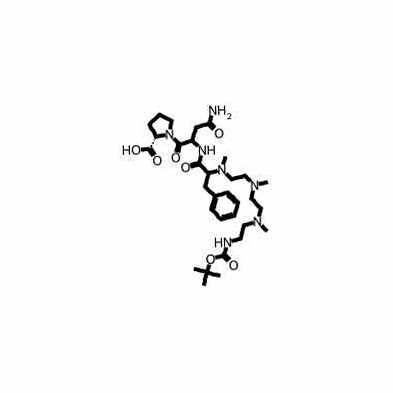 CN(CCNC(=O)OC(C)(C)C)CCN(C)CCN(C)C(Cc1ccccc1)C(=O)NC(CC(N)=O)C(=O)N1CCC[C@H]1C(=O)O